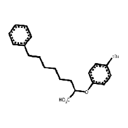 CC(C)(C)c1ccc(OC(CCCCCCc2ccccc2)C(=O)O)cc1